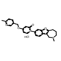 Cc1ccc(COc2ccn(-c3ccc4c5c(oc4c3)CCCN(C)C5)c(=O)c2)cn1.Cl